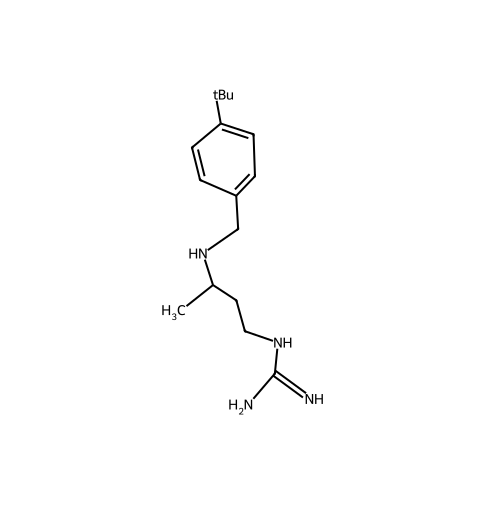 CC(CCNC(=N)N)NCc1ccc(C(C)(C)C)cc1